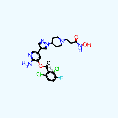 CC(Oc1cc(-c2cnn(C3CCN(CCC(=O)NO)CC3)c2)cnc1N)c1c(Cl)ccc(F)c1Cl